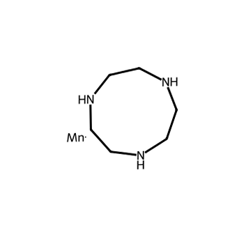 C1CNCCNCCN1.[Mn]